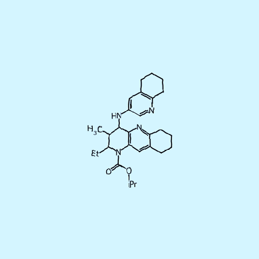 CCC1C(C)C(Nc2cnc3c(c2)CCCC3)c2nc3c(cc2N1C(=O)OC(C)C)CCCC3